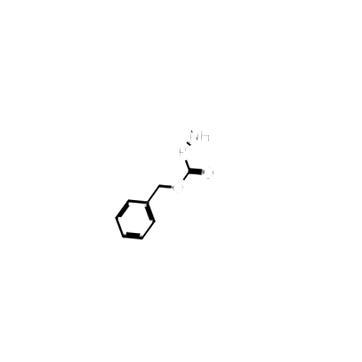 N=PC(=O)OCc1ccccc1